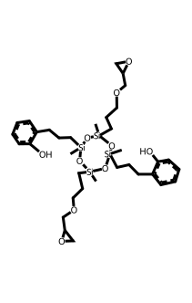 C[Si]1(CCCOCC2CO2)O[Si](C)(CCCc2ccccc2O)O[Si](C)(CCCOCC2CO2)O[Si](C)(CCCc2ccccc2O)O1